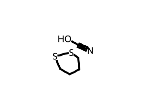 C1CCSSC1.N#CO